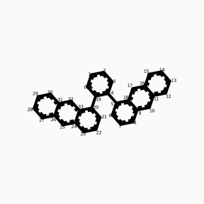 [c]1cccc(-c2cccc3cc4ccccc4cc23)c1-c1cccc2cc3ccccc3cc12